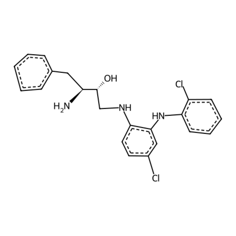 N[C@@H](Cc1ccccc1)[C@H](O)CNc1ccc(Cl)cc1Nc1ccccc1Cl